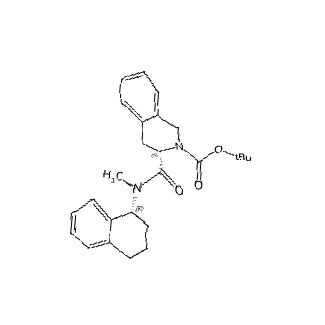 CN(C(=O)[C@@H]1Cc2ccccc2CN1C(=O)OC(C)(C)C)[C@@H]1CCCc2ccccc21